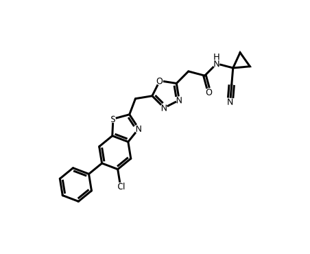 N#CC1(NC(=O)Cc2nnc(Cc3nc4cc(Cl)c(-c5ccccc5)cc4s3)o2)CC1